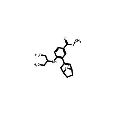 CCC(CC)Nc1ccc(C(=O)OC)cc1C1=CC2CCC(C1)O2